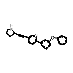 C(#CC1CCCN1)c1ccc(-c2cccc(Oc3ccccc3)c2)nc1